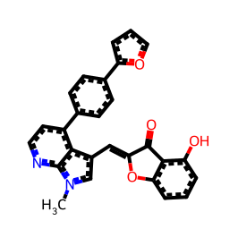 Cn1cc(C=C2Oc3cccc(O)c3C2=O)c2c(-c3ccc(-c4ccco4)cc3)ccnc21